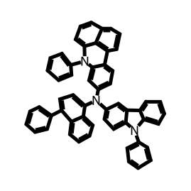 c1ccc(-c2ccc(N(c3ccc4c(c3)N(c3ccccc3)c3cccc5cccc-4c35)c3ccc4c(c3)c3ccccc3n4-c3ccccc3)c3ccccc23)cc1